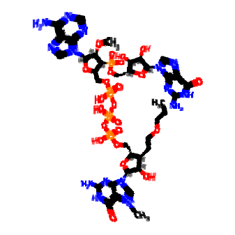 CCCOCC[C@H]1[C@@H](O)[C@H](n2c[n+](C)c3c(=O)[nH]c(N)nc32)O[C@@H]1COP(=O)(O)OP(=O)(O)OP(=O)(O)OCC1O[C@@H](n2cnc3c(N)ncnc32)[C@H](OC)[C@@H]1P(=O)([O-])OC[C@H]1O[C@@H](n2cnc3c(=O)[nH]c(N)nc32)[C@H](O)[C@@H]1O